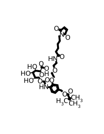 CC(C)(C)C(=O)OCc1ccc(NC(=O)O[C@@H]2O[C@H](C(=O)O)[C@@H](O)[C@H](O)[C@H]2O)c(OCCOCCNC(=O)CCCCCN2C(=O)C=CC2=O)c1